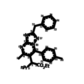 CCCC(C(=O)OCC)c1c(C)nc2nc(Cc3ccccc3)nn2c1-c1ccc(C)cc1